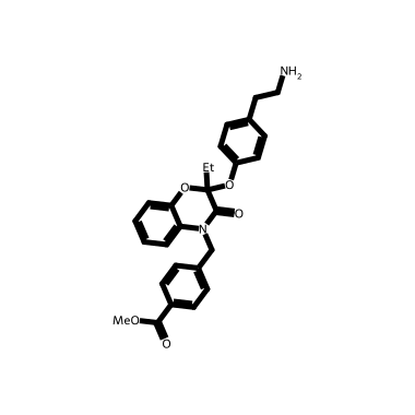 CCC1(Oc2ccc(CCN)cc2)Oc2ccccc2N(Cc2ccc(C(=O)OC)cc2)C1=O